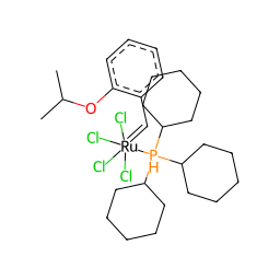 CC(C)Oc1ccccc1[CH]=[Ru]([Cl])([Cl])([Cl])([Cl])[PH](C1CCCCC1)(C1CCCCC1)C1CCCCC1